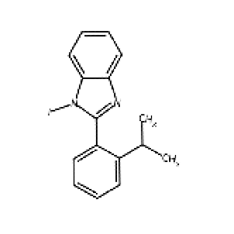 CC(C)c1ccccc1-c1nc2ccccc2n1I